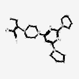 CCC(C(=O)O)N1CCN(c2cc(N3CCCC3)nc(N3CCCC3)n2)CC1